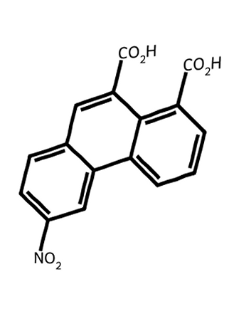 O=C(O)c1cccc2c1c(C(=O)O)cc1ccc([N+](=O)[O-])cc12